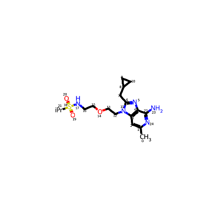 Cc1cc2c(nc(CC3CC3)n2CCOCCNS(=O)(=O)C(C)C)c(N)n1